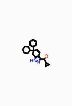 O=C(c1n[nH]c2c1C=CC(c1ccccc1)(C1CCCCC1)C2)C1CC1